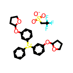 O=S(=O)([O-])CC(F)(F)F.c1ccc([S+](c2cccc(OC3CCCO3)c2)c2cccc(OC3CCCO3)c2)cc1